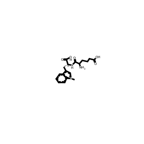 Cn1cc(C[C@@H](NC(=O)C(N)CCCC(=O)O)C(=O)O)c2ccccc21